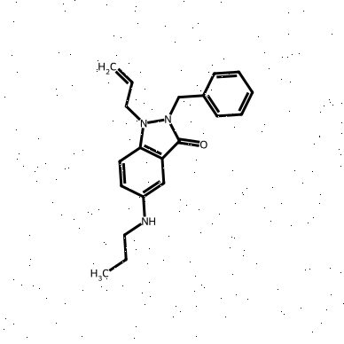 C=CCn1c2ccc(NCCC)cc2c(=O)n1Cc1ccccc1